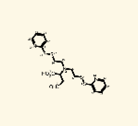 O=CCC(C(=O)O)N(CCSSc1ccccn1)CCSSc1ccccn1